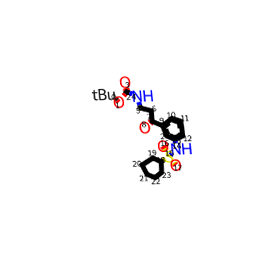 CC(C)(C)OC(=O)NCCC(=O)c1cccc(NS(=O)(=O)C2CCCCC2)c1